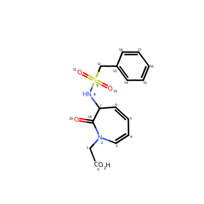 O=C(O)CN1C=CC=CC(NS(=O)(=O)Cc2ccccc2)C1=O